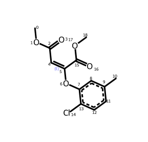 COC(=O)/C=C(/Oc1cc(C)ccc1Cl)C(=O)OC